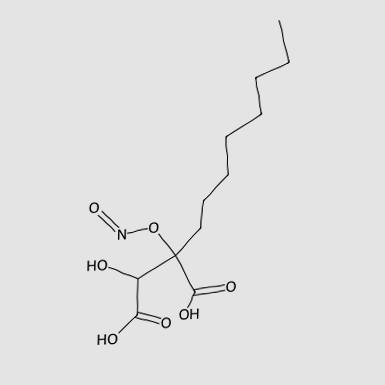 CCCCCCCCC(ON=O)(C(=O)O)C(O)C(=O)O